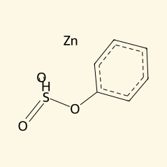 O=[SH](=O)Oc1ccccc1.[Zn]